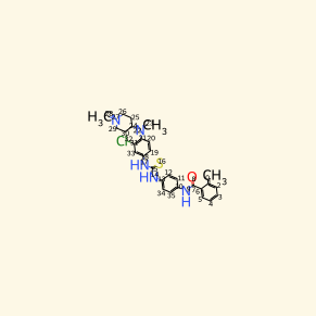 Cc1ccccc1C(=O)Nc1ccc(NC(=S)Nc2ccc(N(C)C3CCN(C)CC3)c(Cl)c2)cc1